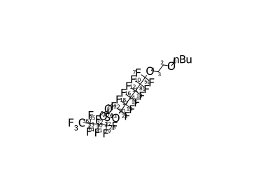 CCCCOCCOC(F)(F)C(F)(F)C(F)(F)C(F)(F)C(F)(F)C(F)(F)OS(=O)(=O)C(F)(F)C(F)(F)C(F)(F)C(F)(F)F